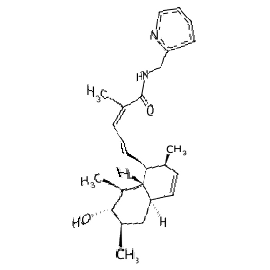 CC(=CC=C[C@@H]1[C@H]2[C@H](C)[C@@H](O)[C@H](C)C[C@@H]2C=C[C@@H]1C)C(=O)NCc1ccccn1